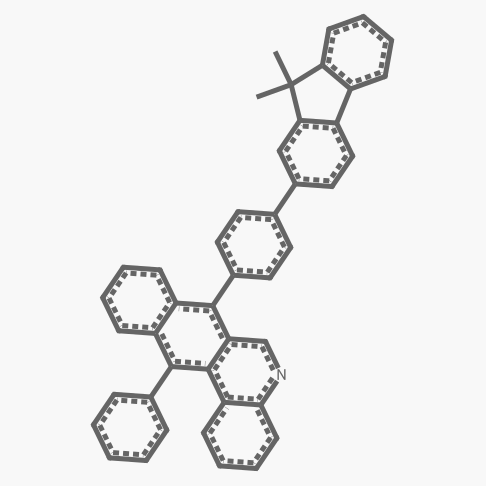 CC1(C)c2ccccc2-c2ccc(-c3ccc(-c4c5ccccc5c(-c5ccccc5)c5c4cnc4ccccc45)cc3)cc21